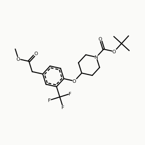 COC(=O)Cc1ccc(OC2CCN(C(=O)OC(C)(C)C)CC2)c(C(F)(F)F)c1